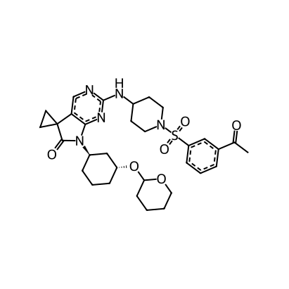 CC(=O)c1cccc(S(=O)(=O)N2CCC(Nc3ncc4c(n3)N([C@@H]3CCC[C@@H](OC5CCCCO5)C3)C(=O)C43CC3)CC2)c1